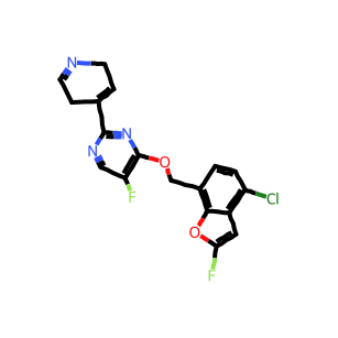 Fc1cc2c(Cl)ccc(COc3nc(C4=CCN=CC4)ncc3F)c2o1